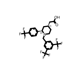 O=C(O)C[C@H]1CCN(Cc2cc(C(F)(F)F)cc(C(F)(F)F)c2)[C@@H](c2ccc(C(F)(F)F)cc2)C1